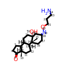 C[C@H]1C[C@H]2[C@@H]3CCC(=O)[C@@]3(C)CC[C@@H]2[C@@]2(C)CC/C(=N/OCCCN)C[C@]12O